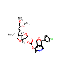 Cc1ncc2c(c1OC(=O)O[C@H]1CO[C@@H]3[C@@H]([C@@H](CCC(CO[N+](=O)[O-])O[N+](=O)[O-])C(=O)O)CO[C@H]31)CO[C@H]2c1ccc(Cl)cc1